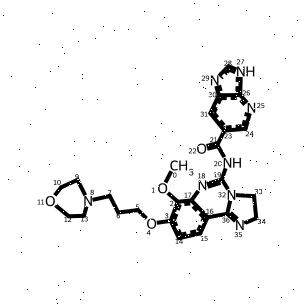 COc1c(OCCCN2CCOCC2)ccc2c1N=C(NC(=O)c1cnc3[nH]cnc3c1)N1CCN=C21